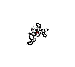 c1ccc2c(c1)oc1c(-c3ccc(-n4c5ccccc5c5c6ccccc6c6c7ccccc7n(-c7ncncn7)c6c54)cc3)cccc12